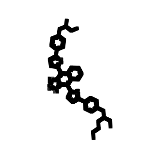 CCCCC(CC)Cc1ccc(-c2ccc(-c3c4ccccc4c(-c4ccc(-c5ccc(CC(C)CC)cc5)s4)c4nsnc34)s2)cc1